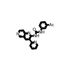 CC(=O)c1cccc(NC(=O)Nc2nc3ccncc3cc2-c2ccccn2)c1